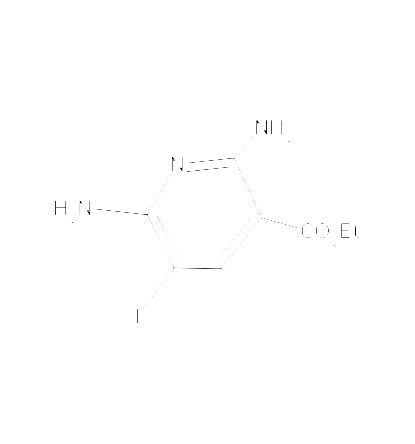 CCOC(=O)c1cc(I)c(N)nc1N